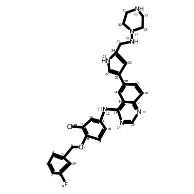 Fc1cccc(COc2ccc(Nc3ncnc4ccc(-c5c[nH]c(CNN6CCNCC6)c5)cc34)cc2Cl)c1